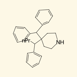 CCCC(c1ccccc1)C1(C(c2ccccc2)c2ccccc2)CCNCC1